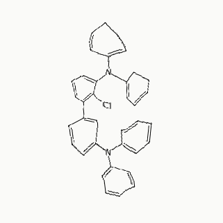 Clc1c(-c2cccc(N(c3ccccc3)c3ccccc3)c2)cccc1N(C1=CCCC=C1)C1=CC=CCC1